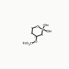 CCOC(=O)OC1CCOS(O)(O)C1